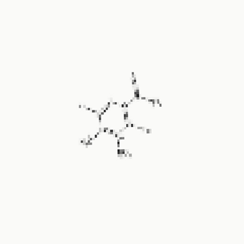 Cc1c(F)cc(C(N)=O)c(F)c1[N+](=O)[O-]